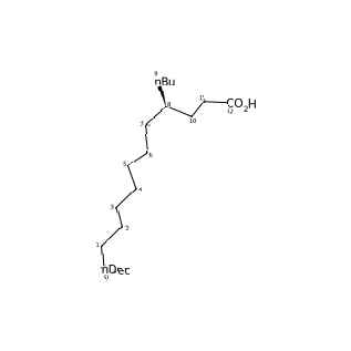 CCCCCCCCCCCCCCCC[CH][C@@H](CCCC)CCC(=O)O